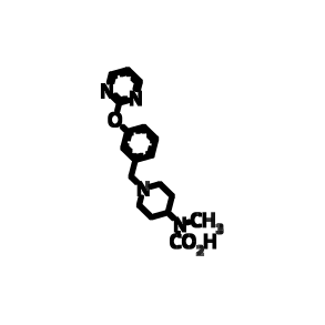 CN(C(=O)O)C1CCN(Cc2cccc(Oc3ncccn3)c2)CC1